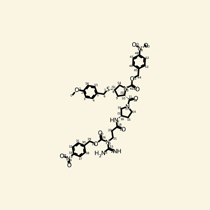 COc1ccc(CS[C@H]2C[C@@H](C(=O)N3CC[C@H](NC(=O)CCN(C(=N)N)C(=O)OCc4ccc([N+](=O)[O-])cc4)C3)N(C(=O)OCc3ccc([N+](=O)[O-])cc3)C2)cc1